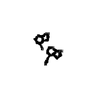 Clc1ccnc2[nH]ccc12.N#Cc1ccnc2[nH]ccc12